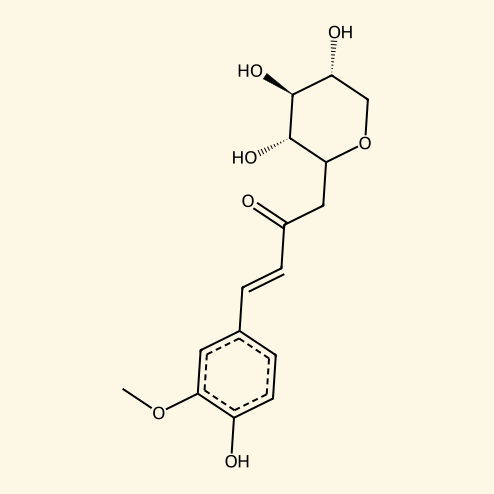 COc1cc(/C=C/C(=O)CC2OC[C@@H](O)[C@H](O)[C@H]2O)ccc1O